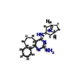 CN1[C@@H]2CC[C@H]1CC(Nc1nc(N)nc3c1CCCc1ccccc1-3)C2